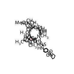 CC[C@H]1OC(=O)[C@H](C)[C@@H](O[C@@H](CCOC)O[C@@H](C)[C@@H](C)O)[C@H](C)[C@@H](O[C@@H]2O[C@H](C)C[C@H](N(C)C)[C@H]2O)[C@](C)(O)C[C@@H](C)CN(CCCNC(=S)Nc2ccc(S(=O)(=O)N3CCCCC3)cc2)[C@H](C)[C@@H](O)[C@]1(C)O